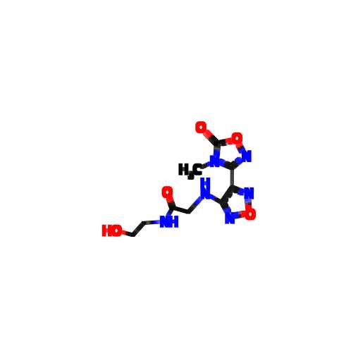 Cn1c(-c2nonc2NCC(=O)NCCO)noc1=O